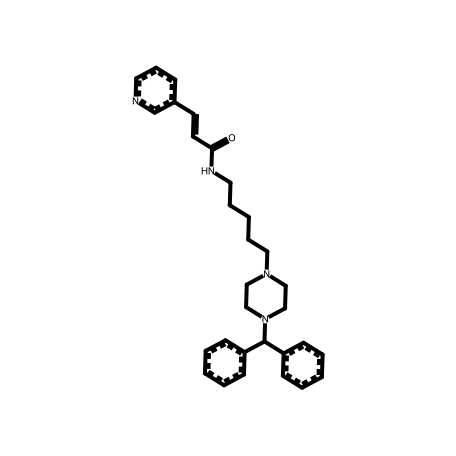 O=C(C=Cc1cccnc1)NCCCCCN1CCN(C(c2ccccc2)c2ccccc2)CC1